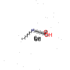 CCCCCCCC/C=C\CCCCCCCC(=O)O.[Ce].[Gd]